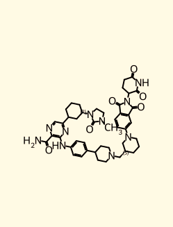 CN1CCN([C@@H]2CCCC(c3cnc(C(N)=O)c(Nc4ccc(C5CCN(C[C@@H]6CCCN(c7ccc8c(c7)C(=O)N(C7CCC(=O)NC7=O)C8=O)C6)CC5)cc4)n3)C2)C1=O